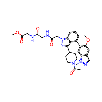 COC(=O)CNC(=O)CNC(=O)Cn1nc(C2CCN(C(C)=O)CC2)c2c(-c3cc4c(cnn4C)cc3OC)cccc21